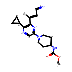 CC/C(=C\C=N)c1nc(N2CCC(NC(=O)OC(C)(C)C)CC2)cnc1C1CC1